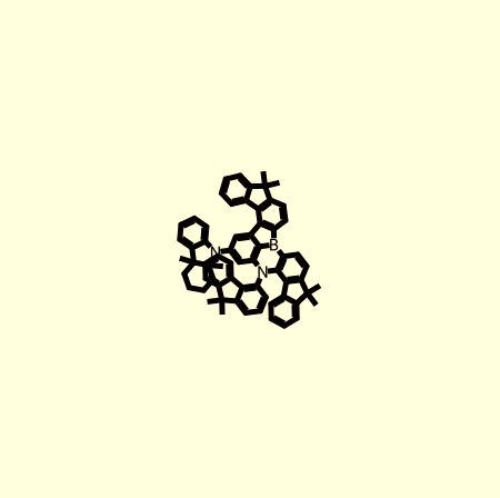 CC1(C)c2ccccc2-c2c(N3c4cc(N5c6ccccc6C6(C)CCCCC56C)cc5c4B(c4ccc6c(c4-5)-c4ccccc4C6(C)C)c4ccc5c(c43)-c3ccccc3C5(C)C)cccc21